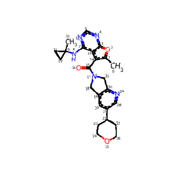 Cc1oc2ncnc(NC3(C)CC3)c2c1C(=O)N1Cc2cc(C3CCOCC3)cnc2C1